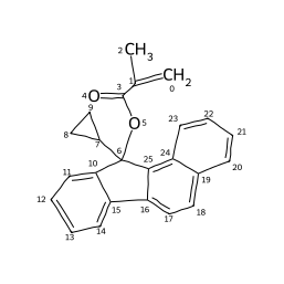 C=C(C)C(=O)OC1(C2CC2)c2ccccc2-c2ccc3ccccc3c21